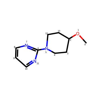 COC1CCN(c2n[c]ccn2)CC1